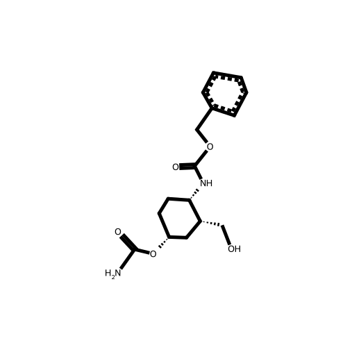 NC(=O)O[C@@H]1CC[C@H](NC(=O)OCc2ccccc2)[C@H](CO)C1